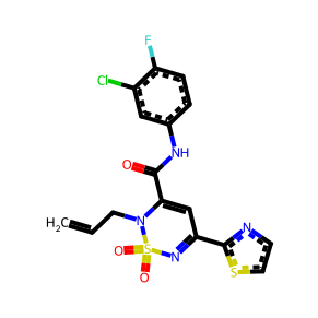 C=CCN1C(C(=O)Nc2ccc(F)c(Cl)c2)=CC(c2nccs2)=NS1(=O)=O